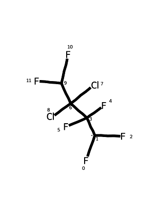 F[C](F)C(F)(F)C(Cl)(Cl)[C](F)F